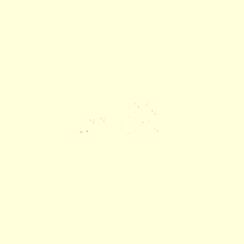 CC1CC(=O)NN=C1c1ccc2c(N)nc(=O)[nH]c2c1